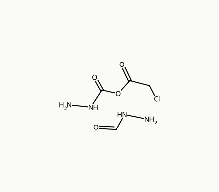 NNC(=O)OC(=O)CCl.NNC=O